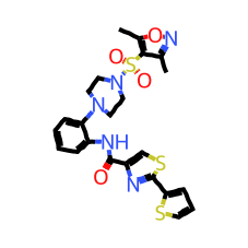 Cc1noc(C)c1S(=O)(=O)N1CCN(c2ccccc2NC(=O)c2csc(-c3cccs3)n2)CC1